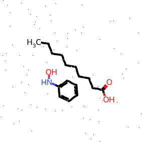 CCCCCCCCCC(=O)O.ONc1ccccc1